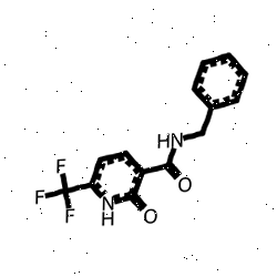 O=C(NCc1ccccc1)c1ccc(C(F)(F)F)[nH]c1=O